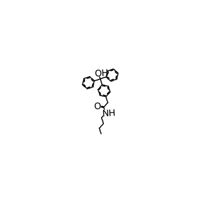 CCCCNC(=O)Cc1ccc(C(O)(c2ccccc2)c2ccccc2)cc1